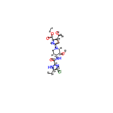 CCOC(=O)c1nc(N2CC[C@@H](NC(=O)c3nc(Cl)c(CC)[nH]3)[C@@H](OC)C2)sc1C(C)=O